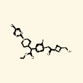 CCOC(=O)C(c1ccc(CC(=O)N2CC(CO)C2)c(F)c1)C1CCN(c2ncc(Cl)cn2)CC1